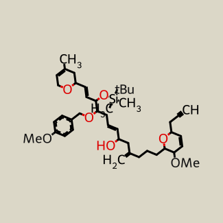 C#CCC1C=CC(OC)C(CCCC(=C)CC(O)/C=C/CC(OCc2ccc(OC)cc2)C(/C=C/C2CC(C)=CCO2)O[Si](C)(C)C(C)(C)C)O1